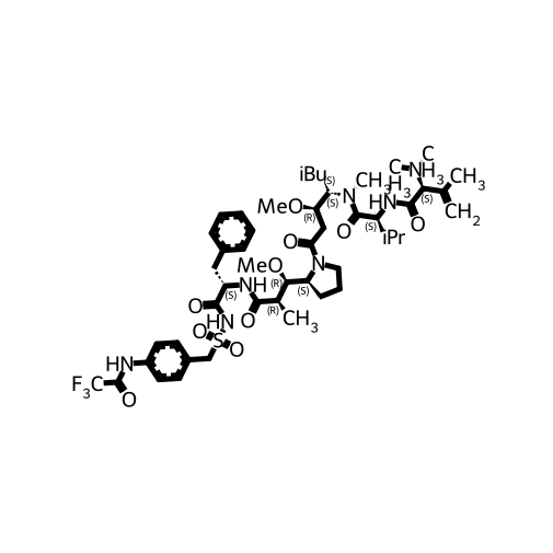 C=C(C)[C@@H](C(=O)N[C@H](C(=O)N(C)[C@@H]([C@@H](C)CC)[C@@H](CC(=O)N1CCC[C@H]1[C@H](OC)[C@@H](C)C(=O)N[C@@H](Cc1ccccc1)C(=O)NS(=O)(=O)Cc1ccc(NC(=O)C(F)(F)F)cc1)OC)C(C)C)N(C)C